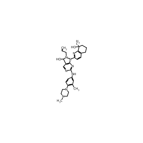 C=CCN1C(O)c2cnc(Nc3ccc(N4CCN(C)CC4)c(C)c3)nc2N1c1ccc2c(n1)[C@](C)(O)CCC2